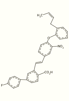 C/C=C\Cc1ccccc1Oc1ccc(/C=C/c2cc(-c3ccc(F)cc3)ccc2C(=O)O)cc1[N+](=O)[O-]